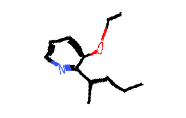 CCCC(C)c1ncccc1OCC